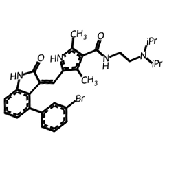 Cc1[nH]c(C=C2C(=O)Nc3cccc(-c4cccc(Br)c4)c32)c(C)c1C(=O)NCCN(C(C)C)C(C)C